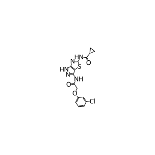 O=C(COc1cccc(Cl)c1)Nc1n[nH]c2nc(NC(=O)C3CC3)sc12